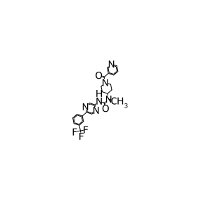 CN(C(=O)Nc1cnc(-c2cccc(C(F)(F)F)c2)cn1)C1CCN(C(=O)c2cccnc2)CC1